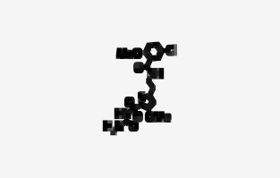 COc1ccc(Cl)cc1C(=O)NCCc1cc(OC)c(S(=O)(=O)NC(N)=O)s1